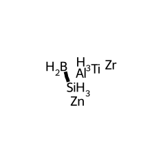 B[SiH3].[AlH3].[Ti].[Zn].[Zr]